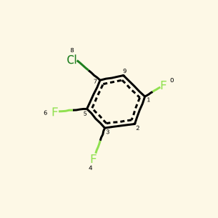 Fc1cc(F)c(F)c(Cl)c1